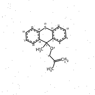 C=C(C)COC1(C)c2ccccc2Sc2ccccc21